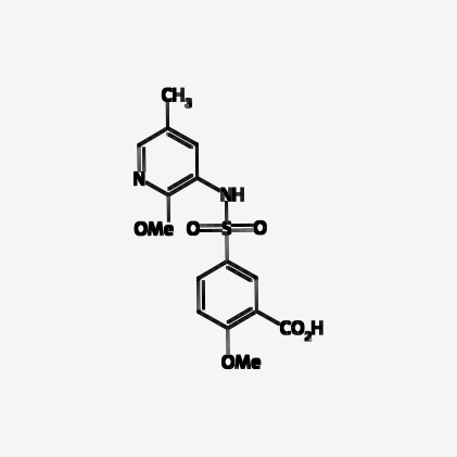 COc1ccc(S(=O)(=O)Nc2cc(C)cnc2OC)cc1C(=O)O